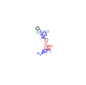 NN/N=C(\N)CC(OCC1CCC(n2ncc3c(NCc4ccccc4Cl)nc(Cl)nc32)O1)P(O)O